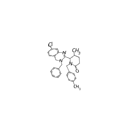 Cc1ccc(CN2C(=O)CCC(C)C2C2=Nc3cc(Cl)ccc3CN2Cc2ccccc2)cc1